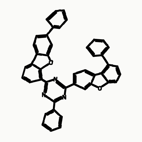 c1ccc(-c2ccc3c(c2)oc2c(-c4nc(-c5ccccc5)nc(-c5ccc6c(c5)oc5cccc(-c7ccccc7)c56)n4)cccc23)cc1